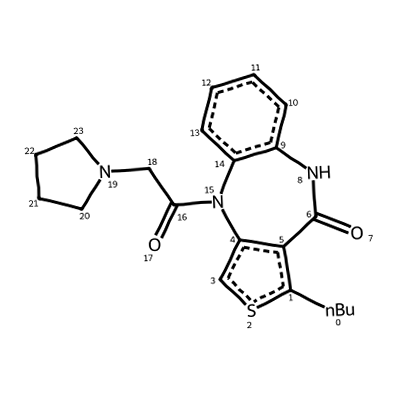 CCCCc1scc2c1C(=O)Nc1ccccc1N2C(=O)CN1CCCC1